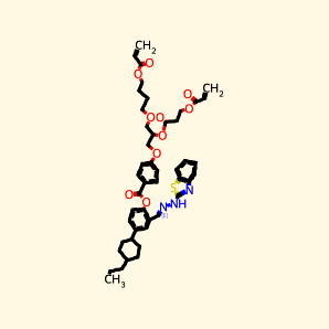 C=CC(=O)OCCCCOCC(COc1ccc(C(=O)Oc2ccc(C3CCC(CCC)CC3)cc2/C=N/Nc2nc3ccccc3s2)cc1)OC(=O)CCOC(=O)C=C